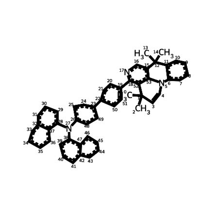 CC1(C)C=CN2c3ccccc3C(C)(C)c3cnc(-c4ccc(-c5ccc(N(c6cccc7ccccc67)c6cccc7ccccc67)cc5)cc4)c1c32